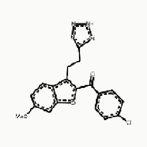 COc1ccc2c(CCc3nn[nH]n3)c(C(=O)c3ccc(Cl)cc3)oc2c1